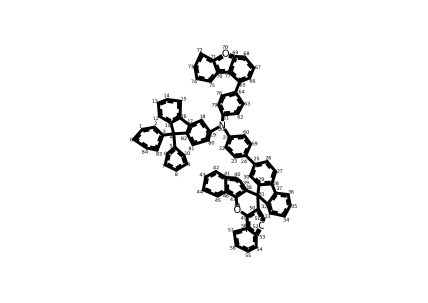 c1ccc(C2(c3ccccc3)c3ccccc3-c3cc(N(c4ccc(-c5ccc6c(c5)C5(c7ccccc7-6)c6ccc7ccccc7c6Oc6c5ccc5ccccc65)cc4)c4ccc(-c5cccc6oc7ccccc7c56)cc4)ccc32)cc1